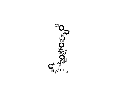 CN(C)CC[C@H](CCSc1ccccc1)n1cnc2cc(S(=O)(=O)NC(=O)c3ccc(N4CCN(Cc5ccccc5-c5ccc(Cl)cc5)CC4)cc3)ccc21